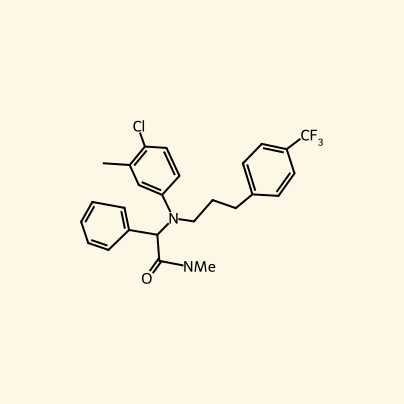 CNC(=O)C(c1ccccc1)N(CCCc1ccc(C(F)(F)F)cc1)c1ccc(Cl)c(C)c1